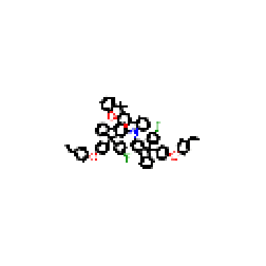 C=Cc1ccc(Oc2ccc(C3(c4ccc(F)cc4)c4ccccc4-c4ccc(N(c5ccc6c(c5)C(c5ccc(F)cc5)(c5ccc(Oc7ccc(C=C)cc7)cc5)c5ccccc5-6)c5ccccc5-c5ccc6c(c5)C(C)(C)c5ccccc5O6)cc43)cc2)cc1